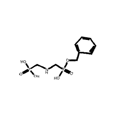 O=P(O)(O)CNCP(=O)(O)OCc1ccccc1